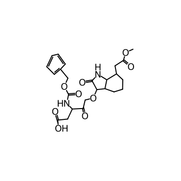 COC(=O)CC1CCCC2C(OCC(=O)C(CC(=O)O)NC(=O)OCc3ccccc3)C(=O)NC12